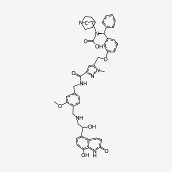 COc1cc(CNC(=O)c2cc(COc3cccc([C@H](c4ccccc4)N(C(=O)O)C4CN5CCC4CC5)c3)n(C)n2)ccc1CNCC(O)c1ccc(O)c2[nH]c(=O)ccc12